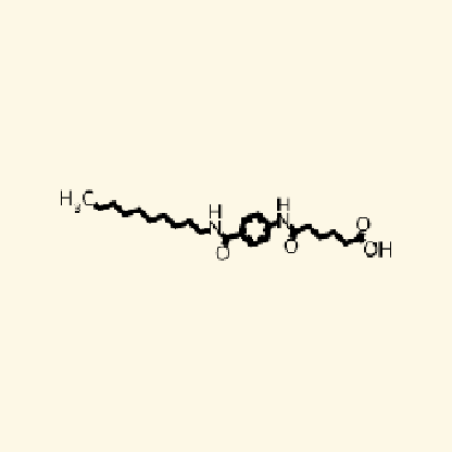 CCCCCCCCCCNC(=O)c1ccc(NC(=O)CCCCC(=O)O)cc1